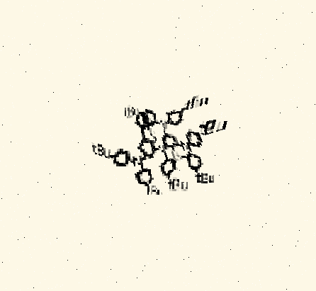 CC(C)(C)c1ccc(N(c2ccc(C(C)(C)C)cc2)c2cc3c4c(c2)N(c2cc(N(c5ccc(C(C)(C)C)cc5)c5ccc(C(C)(C)C)cc5)cc5c2sc2ccccc25)c2ccc(C(C)(C)C)cc2B4c2cc(C(C)(C)C)ccc2N3c2ccc(C(C)(C)C)cc2)cc1